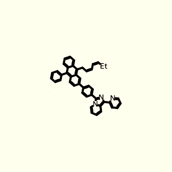 CC/C=C\C=C/Cc1c2ccccc2c(-c2ccccc2)c2ccc(-c3ccc(-c4nc(-c5ccccn5)c5ccccn45)cc3)cc12